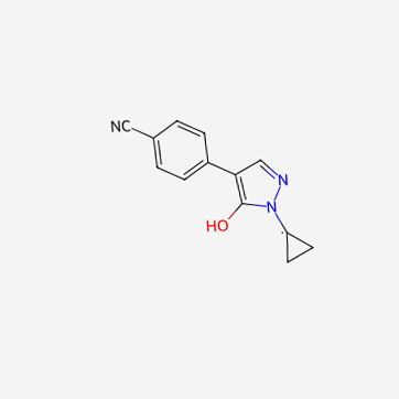 N#Cc1ccc(-c2cnn([C]3CC3)c2O)cc1